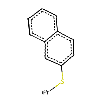 CC(C)Sc1ccc2ccccc2c1